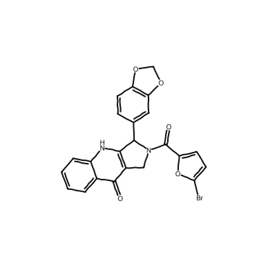 O=C(c1ccc(Br)o1)N1Cc2c([nH]c3ccccc3c2=O)C1c1ccc2c(c1)OCO2